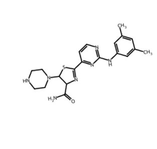 Cc1cc(C)cc(Nc2nccc(C3=NC(C(N)=O)C(N4CCNCC4)S3)n2)c1